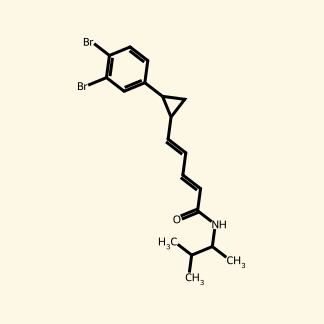 CC(C)C(C)NC(=O)/C=C/C=C/C1CC1c1ccc(Br)c(Br)c1